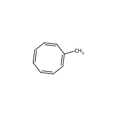 CC1=CC=CC=CC=C1